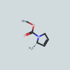 C[C@H]1C=CCN1C(=O)OC(C)(C)C